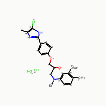 CCN(CC(O)COc1ccc(-c2nc(C)c(Cl)[nH]2)cc1)c1ccc(OC)c(OC)c1.Cl.Cl